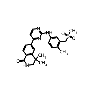 Cc1ccc(Nc2nccc(-c3ccc4c(c3)C(C)(C)CNC4=O)n2)cc1CS(C)(=O)=O